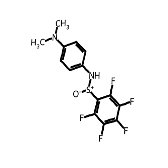 CN(C)c1ccc(N[S+]([O-])c2c(F)c(F)c(F)c(F)c2F)cc1